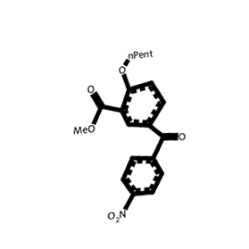 CCCCCOc1ccc(C(=O)c2ccc([N+](=O)[O-])cc2)cc1C(=O)OC